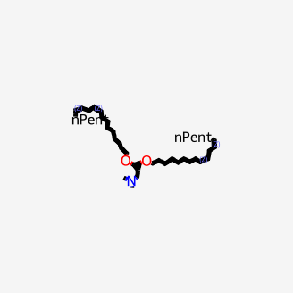 CCCCC/C=C\C/C=C\CCCCCCCCOC1C(CN(C)C)C1OCCCCCCCC/C=C\C/C=C\CCCCC